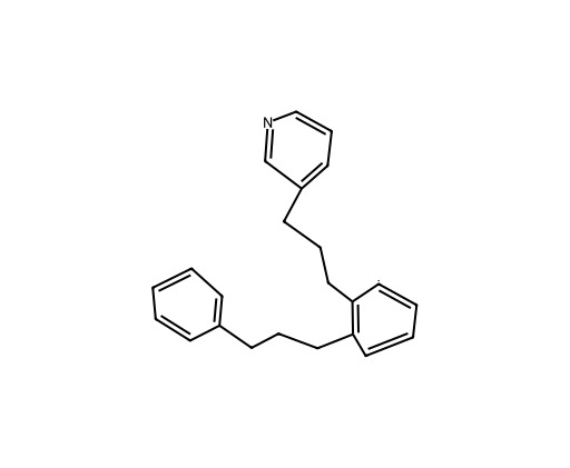 [c]1cccc(CCCc2ccccc2)c1CCCc1cccnc1